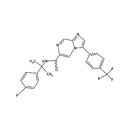 CC(C)(NC(=O)c1cn2c(-c3ccc(C(F)(F)F)cc3)cnc2cn1)c1ccc(F)cc1